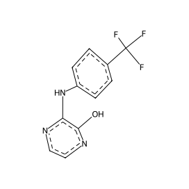 Oc1nccnc1Nc1ccc(C(F)(F)F)cc1